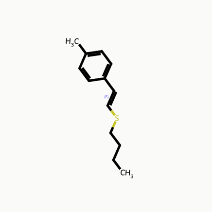 CCCCS/C=C/c1ccc(C)cc1